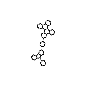 c1ccc(-n2c3ccccc3c3cc(-c4ccc(-c5ccc6c(c5)c5ccccc5c5c7ccccc7c7ccccc7c65)cc4)ccc32)cc1